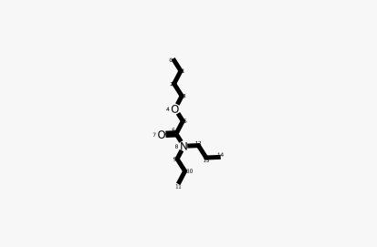 CCCCOCC(=O)N(CCC)CCC